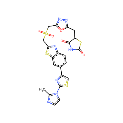 Cc1nccn1-c1nc(-c2ccc3nc(CS(=O)(=O)Cc4nnc(CC5SC(=O)NC5=O)o4)sc3c2)cs1